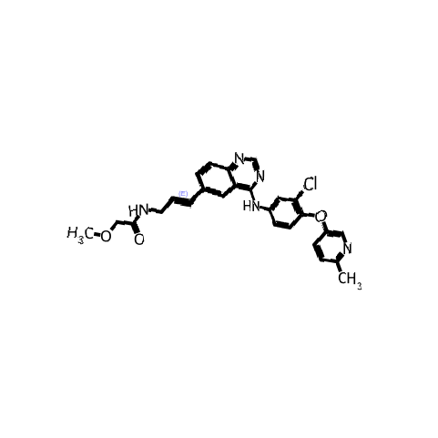 COCC(=O)NC/C=C/c1ccc2ncnc(Nc3ccc(Oc4ccc(C)nc4)c(Cl)c3)c2c1